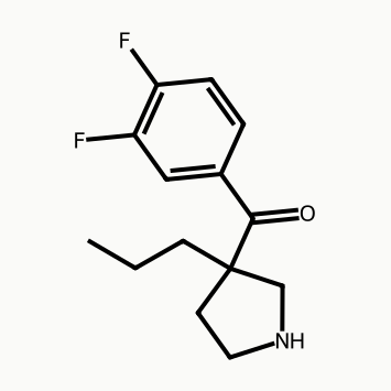 CCCC1(C(=O)c2ccc(F)c(F)c2)CCNC1